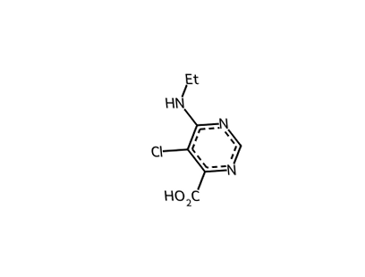 CCNc1ncnc(C(=O)O)c1Cl